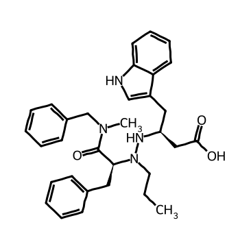 CCCN(N[C@H](CC(=O)O)Cc1c[nH]c2ccccc12)[C@@H](Cc1ccccc1)C(=O)N(C)Cc1ccccc1